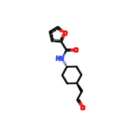 O=CC[C@H]1CC[C@H](NC(=O)c2ccco2)CC1